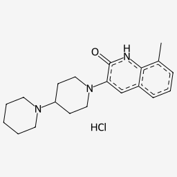 Cc1cccc2cc(N3CCC(N4CCCCC4)CC3)c(=O)[nH]c12.Cl